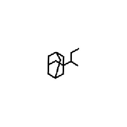 CCC(C)C12CC3CC(CC(C3)C1)C2